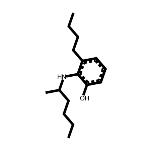 CCCCc1cccc(O)c1NC(C)CCCC